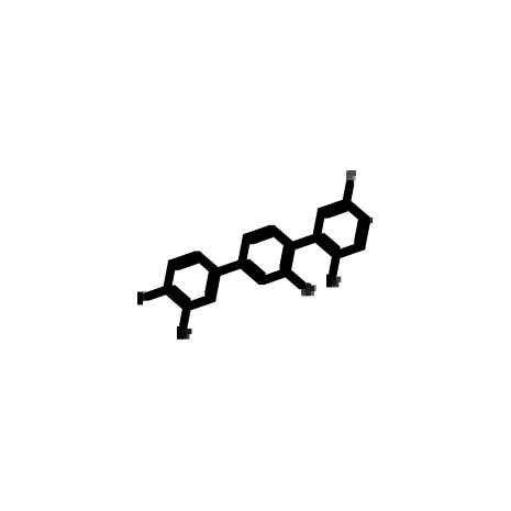 Fc1[c]cc(Br)c(-c2ccc(-c3ccc(F)c(Br)c3)cc2Br)c1